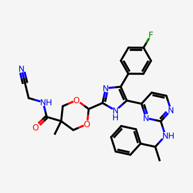 CC(Nc1nccc(-c2[nH]c(C3OCC(C)(C(=O)NCC#N)CO3)nc2-c2ccc(F)cc2)n1)c1ccccc1